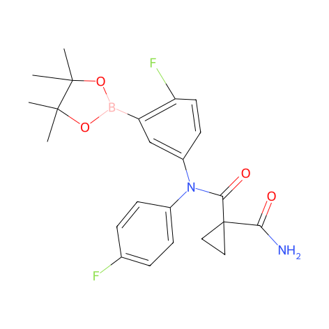 CC1(C)OB(c2cc(N(C(=O)C3(C(N)=O)CC3)c3ccc(F)cc3)ccc2F)OC1(C)C